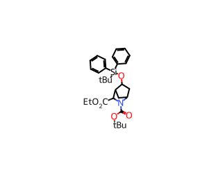 CCOC(=O)C1C2CC(CC2O[Si](c2ccccc2)(c2ccccc2)C(C)(C)C)N1C(=O)OC(C)(C)C